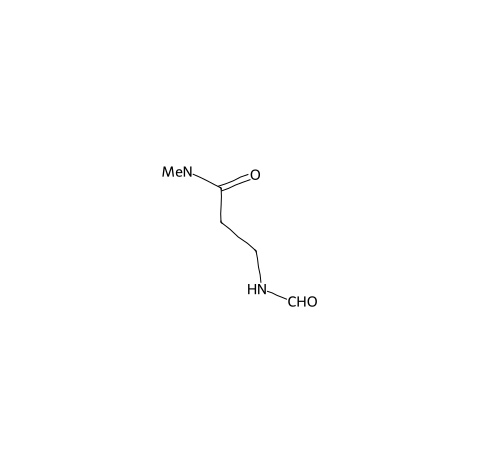 CNC(=O)CCNC=O